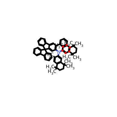 Cc1cc2c(cc1N(c1cc3c(cc1C)C(C)(C)CCC3(C)C)c1cc3c(cc1-c1cccc4c1CCCC4)-c1ccccc1C31c3ccccc3-c3ccccc31)C(C)(C)CCC2(C)C